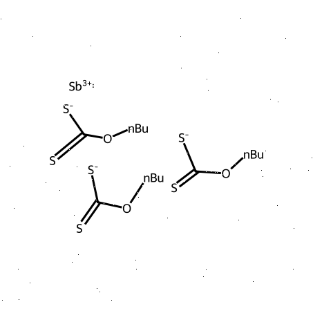 CCCCOC(=S)[S-].CCCCOC(=S)[S-].CCCCOC(=S)[S-].[Sb+3]